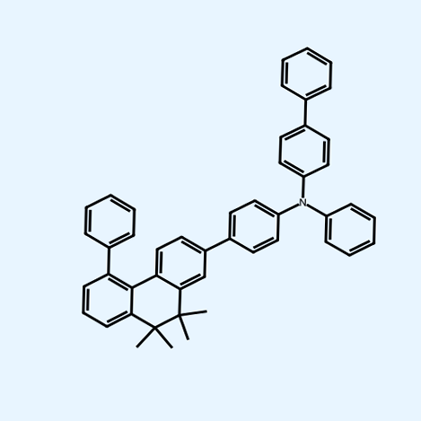 CC1(C)c2cc(-c3ccc(N(c4ccccc4)c4ccc(-c5ccccc5)cc4)cc3)ccc2-c2c(-c3ccccc3)cccc2C1(C)C